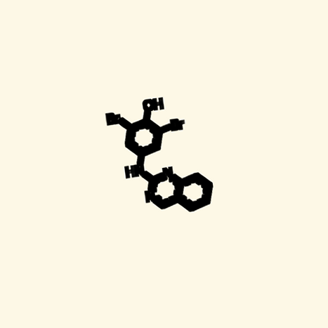 Oc1c(Br)cc(Nc2ncc3ccccc3n2)cc1Br